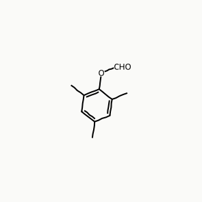 Cc1cc(C)c(OC=O)c(C)c1